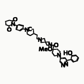 COC1(C(=O)N2CC3(CN(CCC4CCN(c5ccc(N6C(=O)CCCC6=O)cc5)CC4)C3)C2)CCN(c2cnnc(-c3ccccc3O)c2)CC1